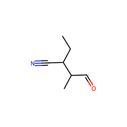 CCC(C#N)C(C)[C]=O